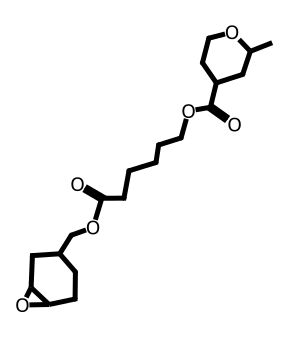 CC1CC(C(=O)OCCCCCC(=O)OCC2CCC3OC3C2)CCO1